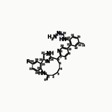 C=C1CCCCC(c2ccc(-c3cc(C)ccc3N/C=N\N)cn2)c2nc(c[nH]2)-c2cc(F)ccc2N1